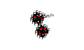 Fc1c(F)c(F)c([B-](c2c(F)c(F)c(F)c(F)c2F)(c2c(F)c(F)c(F)c(F)c2F)c2c(F)c(F)c(F)c(F)c2F)c(F)c1F.Fc1c(F)c(F)c([B-](c2c(F)c(F)c(F)c(F)c2F)(c2c(F)c(F)c(F)c(F)c2F)c2c(F)c(F)c(F)c(F)c2F)c(F)c1F.[Sn+2]